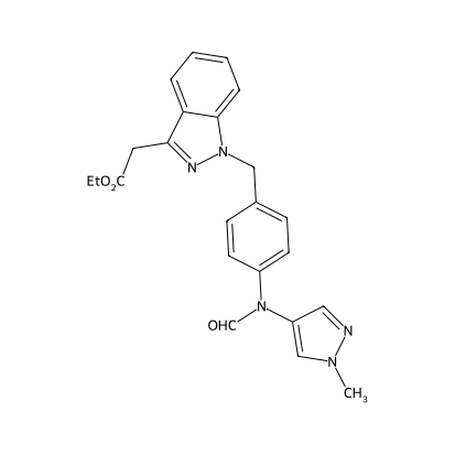 CCOC(=O)Cc1nn(Cc2ccc(N(C=O)c3cnn(C)c3)cc2)c2ccccc12